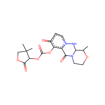 CC1OCCN2C(=O)c3c(OC(=O)OC4C(=O)OCC4(C)C)c(=O)ccn3NC12